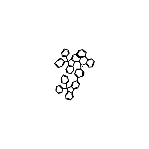 c1c(-c2ccc3c(c2)C(c2ccccc2)(c2ccccc2)c2ccccc2-3)ccc(N(c2ccccc2-c2ccccc2)c2cccc3c2C2=C(C=CCC2)C3(c2ccccc2)c2ccccc2)c#1